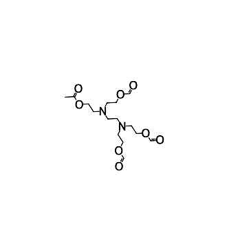 CC(=O)OCCN(CCOC=O)CCN(CCOC=O)CCOC=O